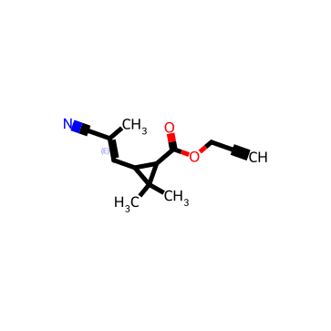 C#CCOC(=O)C1C(/C=C(\C)C#N)C1(C)C